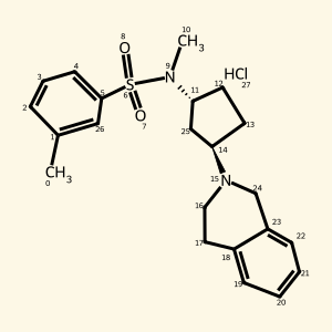 Cc1cccc(S(=O)(=O)N(C)[C@@H]2CC[C@@H](N3CCc4ccccc4C3)C2)c1.Cl